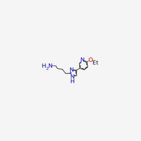 CCOc1ccc(-c2c[nH]c(CCCCN)n2)cn1